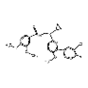 COc1ccc(C(=O)NCC(c2ccc(OC)c(-c3ccc(F)c(Cl)c3)n2)C2CC2)cc1OC